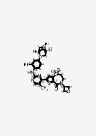 CCc1cc(N2C[C@H]3C[C@@H]2CN3C)ccc1Nc1ncc(C(F)(F)F)c(-c2cc3c(s2)C(=O)N(C2COC2)CCS3(=O)=O)n1